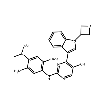 CCCCN(C)c1cc(OC)c(Nc2ncc(C#N)c(-c3cn(C4COC4)c4ccccc34)n2)cc1N